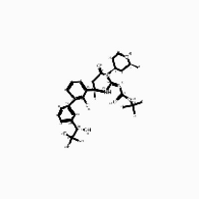 C[C@H]1C[C@@H](N2C(=O)C[C@@](C)(c3cccc(-c4cccc([C@H](O)C(F)(F)F)c4)c3Cl)N/C2=N\C(=O)OC(C)(C)C)CCO1